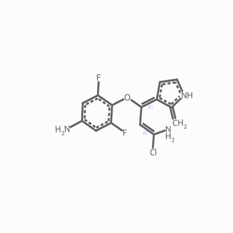 C=c1[nH]cc/c1=C(/C=C(\N)Cl)Oc1c(F)cc(N)cc1F